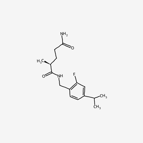 CC(C)c1ccc(CNC(=O)[C@@H](C)CCC(N)=O)c(F)c1